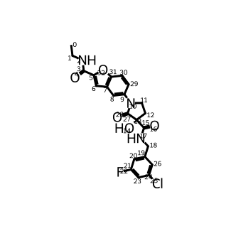 CCNC(=O)c1cc2cc(N3CC[C@](O)(C(=O)NCc4cc(F)cc(Cl)c4)C3=O)ccc2o1